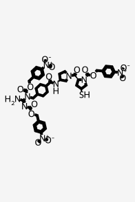 N/C(=N/C(=O)OCc1ccc([N+](=O)[O-])cc1)N(CC1CCC(C(=O)N[C@H]2CCN(C(=O)[C@@H]3C[C@H](S)CN3C(=O)OCc3ccc([N+](=O)[O-])cc3)C2)CC1)C(=O)OCc1ccc([N+](=O)[O-])cc1